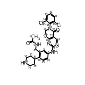 CC(=O)NCc1cc(Nc2ncc3c(n2)OCN(c2c(Cl)cccc2Cl)C3=O)ccc1C1CCNCC1